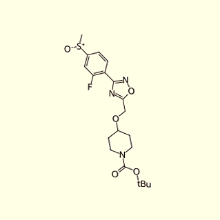 C[S+]([O-])c1ccc(-c2noc(COC3CCN(C(=O)OC(C)(C)C)CC3)n2)c(F)c1